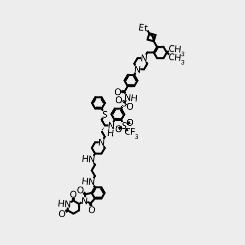 CCC12CC(C3=C(CN4CCN(c5ccc(C(=O)NS(=O)(=O)c6ccc(N[C@H](CCN7CCC(NCCCNc8cccc9c8C(=O)N(C8CCC(=O)NC8=O)C9=O)CC7)CSc7ccccc7)c(S(=O)(=O)C(F)(F)F)c6)cc5)CC4)CCC(C)(C)C3)(C1)C2